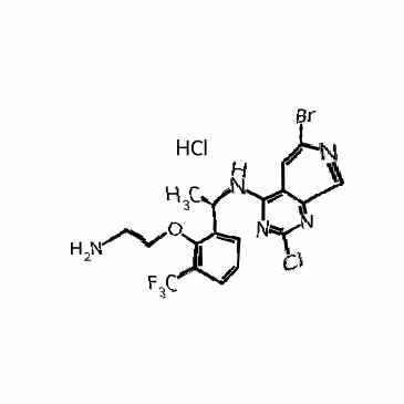 C[C@@H](Nc1nc(Cl)nc2cnc(Br)cc12)c1cccc(C(F)(F)F)c1OCCN.Cl